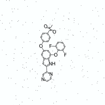 CS(=O)(=O)c1ccc(Oc2cc(Oc3c(F)cccc3F)c3[nH]c(-c4cnccn4)cc3c2)cc1